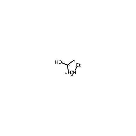 CC(C)O.CCN